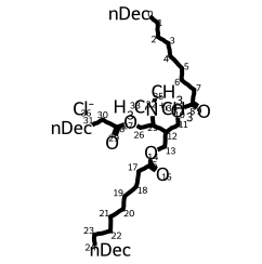 CCCCCCCCCCCCCCCCCC(=O)OCC(COC(=O)CCCCCCCCCCCCCCCCC)C(COC(=O)CCCCCCCCCCC)[N+](C)(C)C.[Cl-]